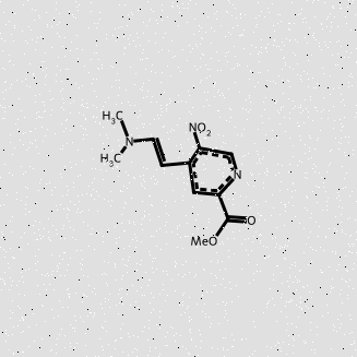 COC(=O)c1cc(C=CN(C)C)c([N+](=O)[O-])cn1